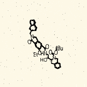 CCOc1cc2c(cc1C(=O)NC[C@@H](O)[C@@H]1Cc3ccccc3CN1C(=O)OC(C)(C)C)CN(Cc1ccc3ccccc3c1)C2=O